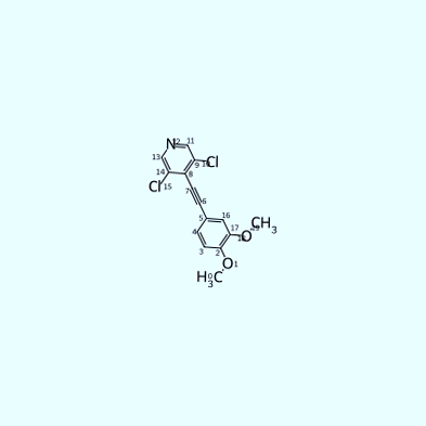 COc1ccc(C#Cc2c(Cl)cncc2Cl)cc1OC